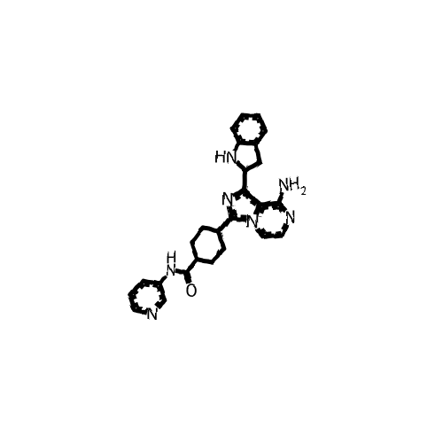 Nc1nccn2c(C3CCC(C(=O)Nc4cccnc4)CC3)nc(C3Cc4ccccc4N3)c12